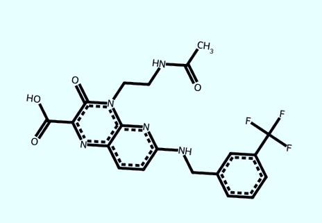 CC(=O)NCCn1c(=O)c(C(=O)O)nc2ccc(NCc3cccc(C(F)(F)F)c3)nc21